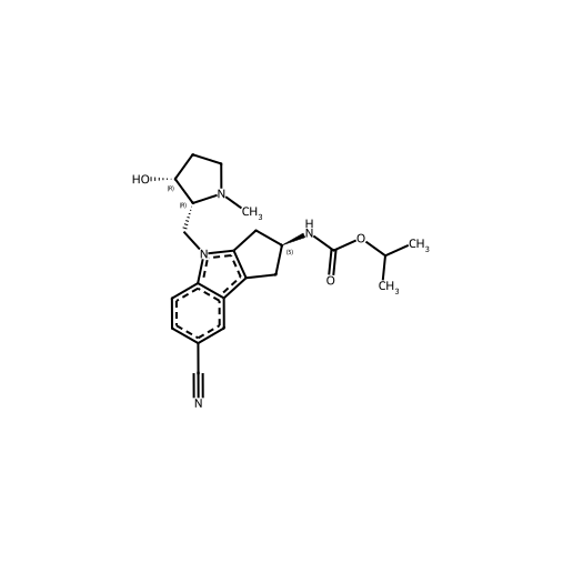 CC(C)OC(=O)N[C@H]1Cc2c(n(C[C@@H]3[C@H](O)CCN3C)c3ccc(C#N)cc23)C1